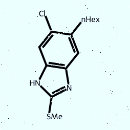 CCCCCCc1cc2nc(SC)[nH]c2cc1Cl